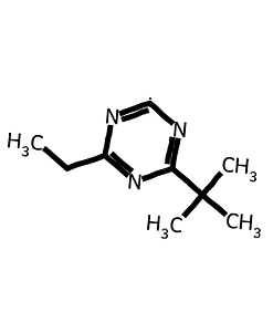 CCc1n[c]nc(C(C)(C)C)n1